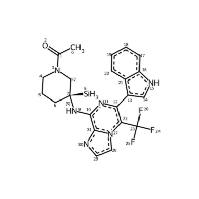 CC(=O)N1CCC[C@@]([SiH3])(Nc2nc(-c3c[nH]c4ccccc34)c(C(F)(F)F)n3ccnc23)C1